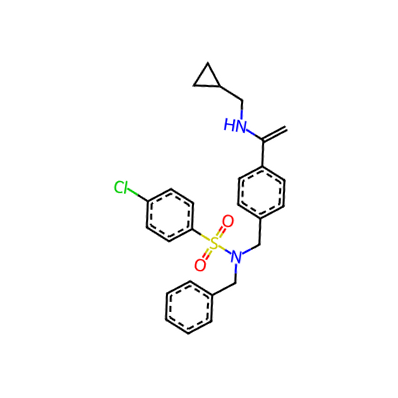 C=C(NCC1CC1)c1ccc(CN(Cc2ccccc2)S(=O)(=O)c2ccc(Cl)cc2)cc1